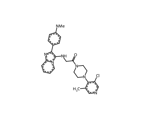 CNc1ccc(-c2nc3ccccn3c2NCC(=O)N2CCN(c3c(C)cncc3Cl)CC2)cc1